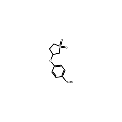 CCCCCCCCCc1ccc(OC2CCS(=O)(=O)C2)cc1